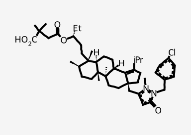 CC[C@H](CC[C@@]1(C)[C@H](C)CC[C@]2(C)[C@@H]1CC[C@@H]1C3=C(C(C)C)CC[C@]3(Cc3cc(=O)n(Cc4ccc(Cl)cc4)n3C)CC[C@]12C)OC(=O)CC(C)(C)C(=O)O